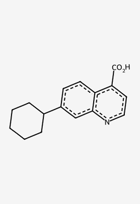 O=C(O)c1ccnc2cc(C3CCCCC3)ccc12